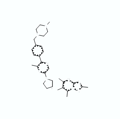 Cc1nc2nc(C)c(C[C@@H]3CCN(c4cnc(-c5ccc(CN6CCN(C)CC6)cc5)c(C)n4)C3)c(C)n2n1